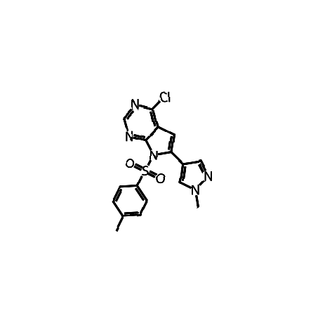 Cc1ccc(S(=O)(=O)n2c(-c3cnn(C)c3)cc3c(Cl)ncnc32)cc1